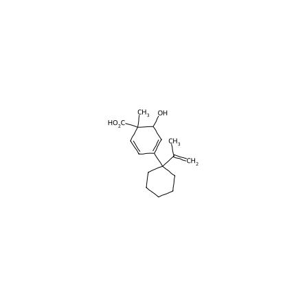 C=C(C)C1(C2=CC(O)C(C)(C(=O)O)C=C2)CCCCC1